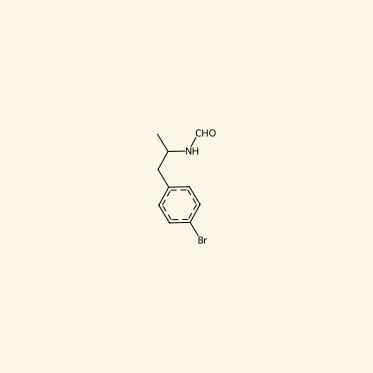 CC(Cc1ccc(Br)cc1)NC=O